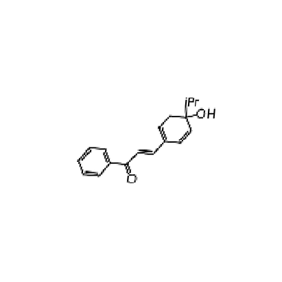 CC(C)C1(O)C=CC(C=CC(=O)c2ccccc2)=CC1